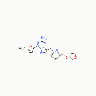 Cc1ccc(-c2nc(N)nc3c(Cc4cccc(CO[C@@H]5CCOC5)n4)cnn23)o1